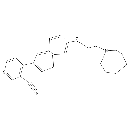 N#Cc1cnccc1-c1ccc2cc(NCCN3CCCCCC3)ccc2c1